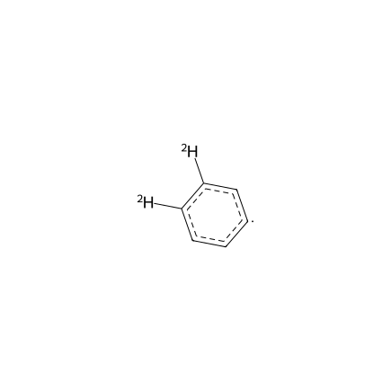 [2H]c1c[c]ccc1[2H]